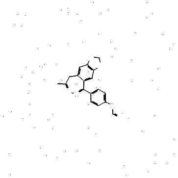 CC1=NN=C(c2ccc(NC=O)cc2)c2cc3c(cc2C1)OCO3